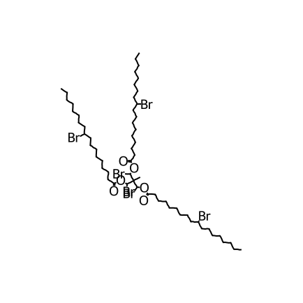 CCCCCCCCC(Br)CCCCCCCCC(=O)OC(Br)C(C)(C(Br)OC(=O)CCCCCCCCC(Br)CCCCCCCC)C(Br)OC(=O)CCCCCCCCC(Br)CCCCCCCC